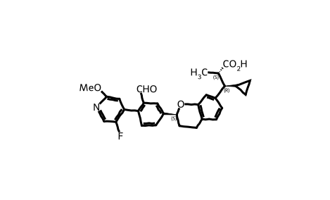 COc1cc(-c2ccc([C@@H]3CCc4ccc([C@H](C5CC5)[C@H](C)C(=O)O)cc4O3)cc2C=O)c(F)cn1